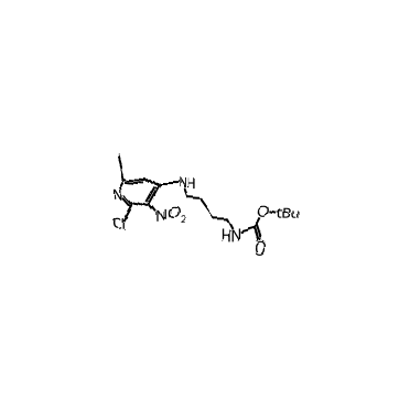 Cc1cc(NCCCCNC(=O)OC(C)(C)C)c([N+](=O)[O-])c(Cl)n1